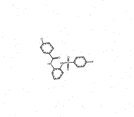 O=C(Nc1ccccc1NS(=O)(=O)c1ccc(F)cc1)c1ccc(Cl)cc1